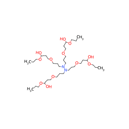 CCCOC(O)CCOCCCN(CCCOCCC(O)OCCC)N(CCCOCCC(O)OCCC)CCCOCCC(O)OCCC